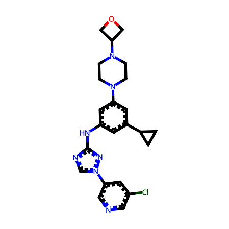 Clc1cncc(-n2cnc(Nc3cc(C4CC4)cc(N4CCN(C5COC5)CC4)c3)n2)c1